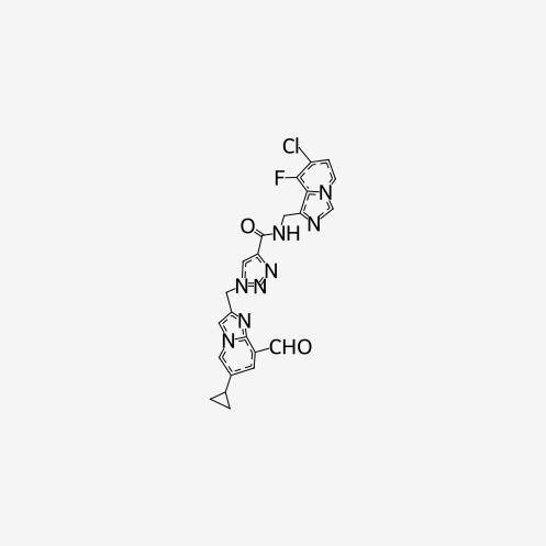 O=Cc1cc(C2CC2)cn2cc(Cn3cc(C(=O)NCc4ncn5ccc(Cl)c(F)c45)nn3)nc12